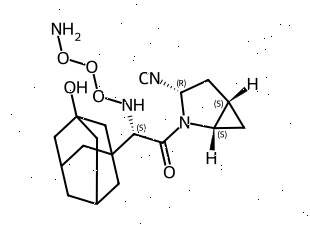 [C-]#[N+][C@@H]1C[C@@H]2C[C@@H]2N1C(=O)[C@@H](NOOON)C12CC3CC(CC(O)(C3)C1)C2